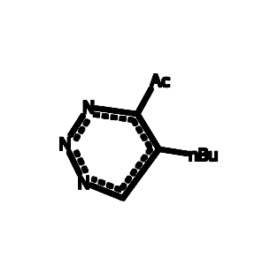 CCCCc1cnnnc1C(C)=O